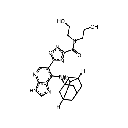 O=C(c1noc(-c2cnc3[nH]cnc3c2N[C@@]23CC4C[C@H](C2)C(O)[C@@H](C4)C3)n1)N(CCO)CCO